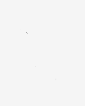 CN(c1ccc([N+](=O)[O-])cc1)c1c[nH]c2ccccc12